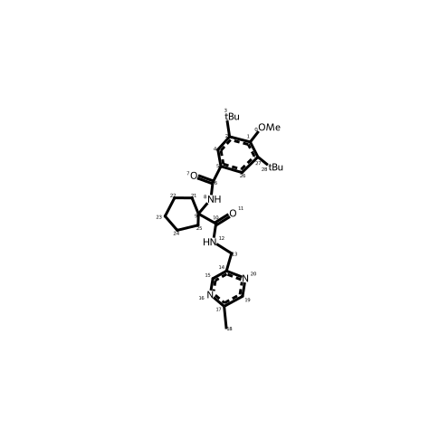 COc1c(C(C)(C)C)cc(C(=O)NC2(C(=O)NCc3cnc(C)cn3)CCCCC2)cc1C(C)(C)C